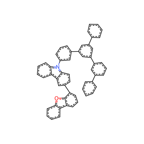 c1ccc(-c2cccc(-c3cc(-c4ccccc4)cc(-c4cccc(-n5c6ccccc6c6cc(-c7cccc8c7oc7ccccc78)ccc65)c4)c3)c2)cc1